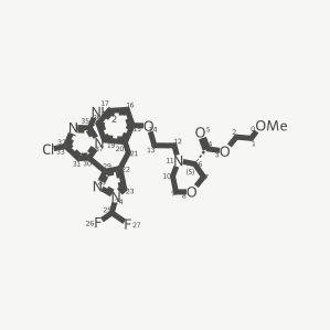 COCCOC(=O)[C@@H]1COCCN1CCOc1ccccc1Cc1cn(C(F)F)nc1-c1cc(Cl)nc(N)n1